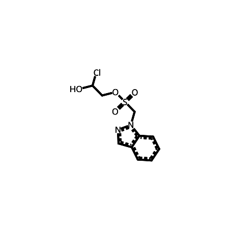 O=S(=O)(Cn1ncc2ccccc21)OCC(O)Cl